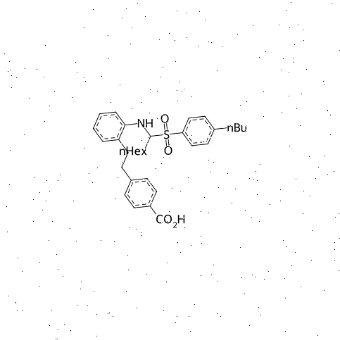 CCCCCCC(Nc1ccccc1CCc1ccc(C(=O)O)cc1)S(=O)(=O)c1ccc(CCCC)cc1